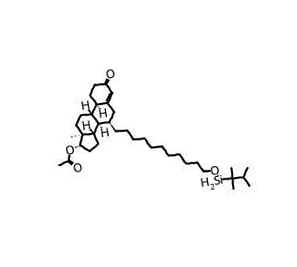 CC(=O)O[C@H]1CC[C@H]2[C@@H]3[C@H](CCCCCCCCCCCO[SiH2]C(C)(C)C(C)C)CC4=CC(=O)CC[C@@H]4[C@H]3CC[C@]12C